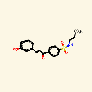 O=C(O)CCNS(=O)(=O)c1ccc(C(=O)C=Cc2cccc(O)c2)cc1